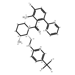 Cc1c(F)ccc(-c2ncccn2)c1C(=O)N1CCC[C@@H](C)[C@H]1COc1ccc(C(F)(F)F)cn1